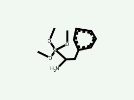 CO[Si](OC)(OC)C(N)Cc1ccccc1